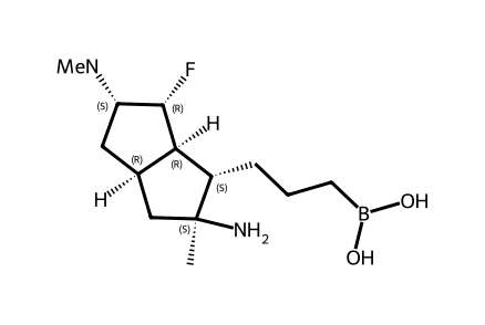 CN[C@H]1C[C@@H]2C[C@](C)(N)[C@@H](CCCB(O)O)[C@@H]2[C@H]1F